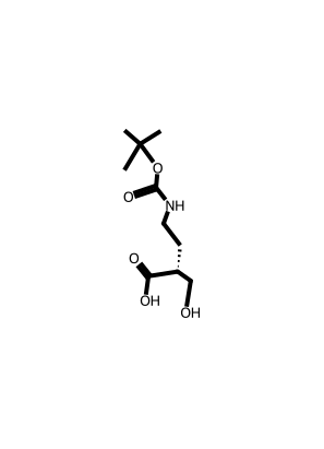 CC(C)(C)OC(=O)NCC[C@H](CO)C(=O)O